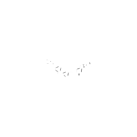 C=C1C=C2C(=CC1OCc1cc(-c3c(C)cc(OCC(C)(CO)CO)cc3C)ccc1F)C[C@H]1[C@H](C(=O)O)[C@@H]21